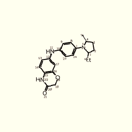 CCC1CCC(C)N1c1ccc(Nc2ccc3c(c2)OCC(=O)N3)cc1